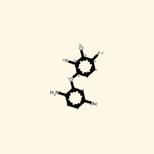 CC(=O)c1ccc(N)c(Oc2ccc(F)c(Cl)c2F)c1